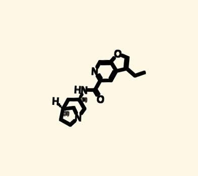 CCc1coc2cnc(C(=O)N[C@@H]3C[C@@H]4CCN(C4)C3)cc12